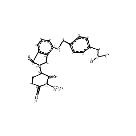 CCN(CC)Cc1ccc(COc2cccc3c2CN(C2CCC(=O)N(C(=O)O)C2=O)C3=O)cc1